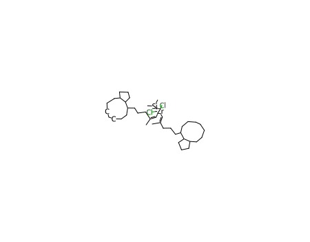 CC(=[CH][Zr]([Cl])([Cl])([CH]=C(C)CCCC1CCCCCCCC2CCCC12)=[Si](C)C)CCCC1CCCCCCCC2CCCC12